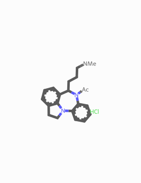 CNCCCC1c2cccc3c2N(CC3)c2ccccc2N1C(C)=O.Cl